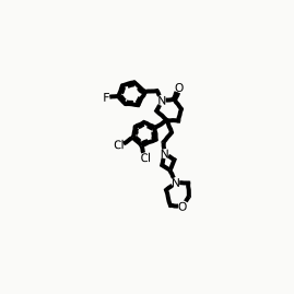 O=C1CCC(CCN2CC(N3CCOCC3)C2)(c2ccc(Cl)c(Cl)c2)CN1Cc1ccc(F)cc1